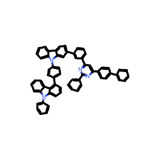 c1ccc(-c2ccc(-c3cc(-c4cccc(-c5ccc6c7ccccc7n(-c7ccc(-c8cccc9c8c8ccccc8n9-c8ccccc8)cc7)c6c5)c4)nc(-c4ccccc4)n3)cc2)cc1